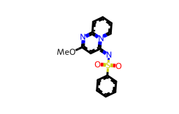 COc1cc(=NS(=O)(=O)c2ccccc2)n2ccccc2n1